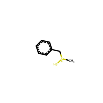 C[SH](S)Cc1ccccc1